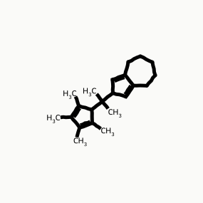 CC1=C(C)C(C(C)(C)C2C=C3CCCCCC3=C2)C(C)=C1C